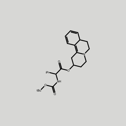 CC(C)C(NC(=O)OC(C)(C)C)C(=O)OC1CCN2CCC3C=CC=CC3=C2C1